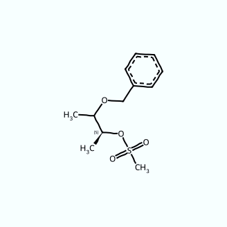 CC(OCc1ccccc1)[C@H](C)OS(C)(=O)=O